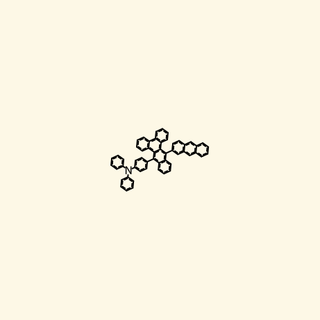 c1ccc(N(c2ccccc2)c2ccc(-c3c4ccccc4c(-c4ccc5cc6ccccc6cc5c4)c4c5ccccc5c5ccccc5c34)cc2)cc1